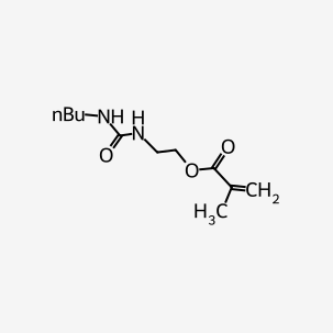 C=C(C)C(=O)OCCNC(=O)NCCCC